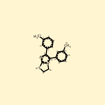 Cc1cccc(-c2nc3n(c2-c2cccc(C)c2)CCS3)c1